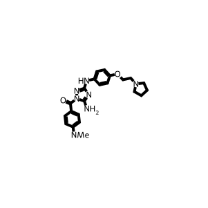 CNc1ccc(C(=O)n2nc(Nc3ccc(OCCN4CCCC4)cc3)nc2N)cc1